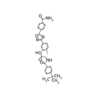 CC(C)(C)c1ccc(C(=O)N[C@@H](Cc2ccc(-c3noc(-c4ccc(C(N)=O)cc4)n3)cc2)C(=O)O)cc1